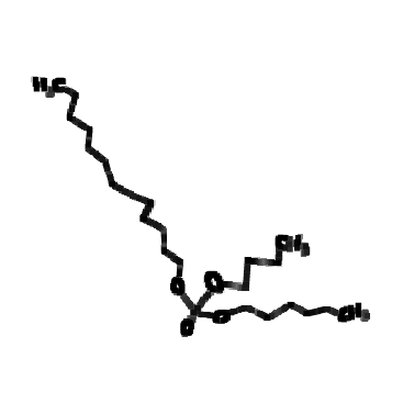 CCCCCCCCCCCCOP(=O)(OCCCC)OCCCCCC